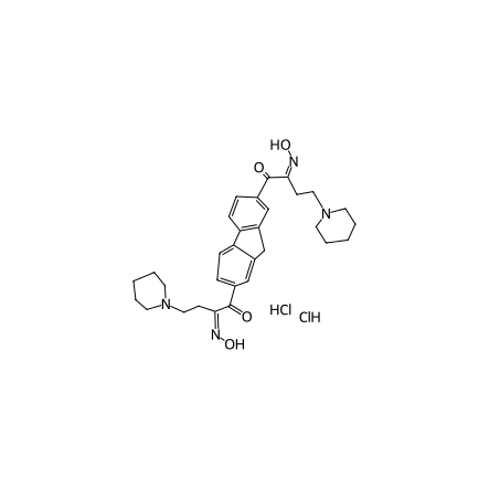 Cl.Cl.O=C(/C(CCN1CCCCC1)=N\O)c1ccc2c(c1)Cc1cc(C(=O)/C(CCN3CCCCC3)=N\O)ccc1-2